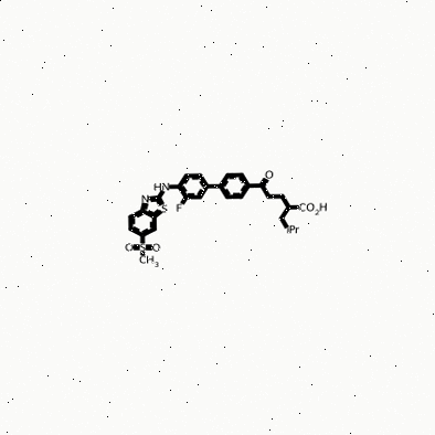 CC(C)CC(CCC(=O)c1ccc(-c2ccc(Nc3nc4ccc(S(C)(=O)=O)cc4s3)c(F)c2)cc1)C(=O)O